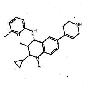 CC(=O)N1c2ccc(C3=CCNCC3)cc2[C@@H](Nc2cccc(C)n2)[C@H](C)C1C1CC1